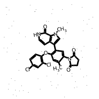 Cc1cc(Oc2ccc(Cl)cc2Cl)c(-c2cn(C)c3c(=O)[nH]ccc23)cc1N1C(=O)CCC1=O